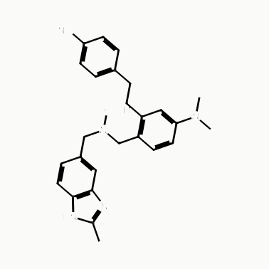 Cc1nc2cc(CN(Cc3ccc(N(C)C)cc3CCc3ccc(C#N)cc3)C(=O)O)ccc2[nH]1